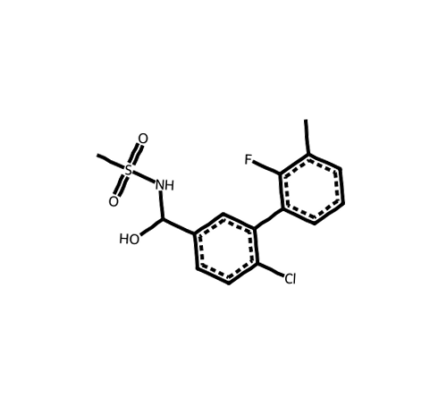 Cc1cccc(-c2cc(C(O)NS(C)(=O)=O)ccc2Cl)c1F